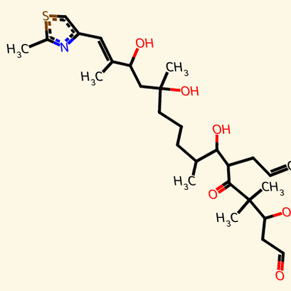 C=CCC(C(=O)C(C)(C)C(O)CC=O)C(O)C(C)CCCC(C)(O)CC(O)/C(C)=C/c1csc(C)n1